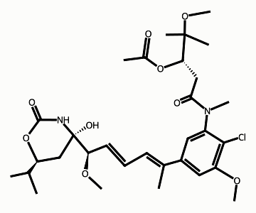 COc1cc(/C(C)=C/C=C/[C@@H](OC)[C@@]2(O)C[C@@H](C(C)C)OC(=O)N2)cc(N(C)C(=O)C[C@H](OC(C)=O)C(C)(C)OC)c1Cl